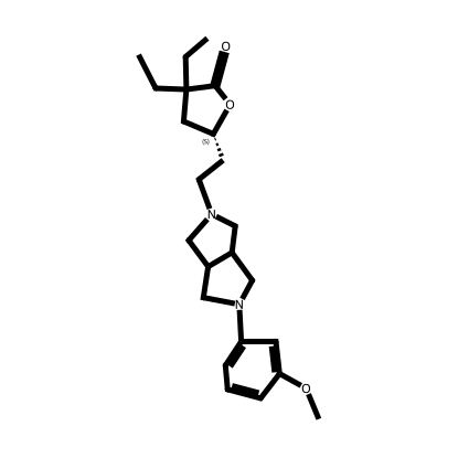 CCC1(CC)C[C@@H](CCN2CC3CN(c4cccc(OC)c4)CC3C2)OC1=O